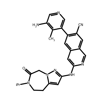 Cc1c(N)cncc1-c1cc2cc(Nc3cc4n(n3)CC(=O)N(C(C)C)CC4)ncc2cc1C#N